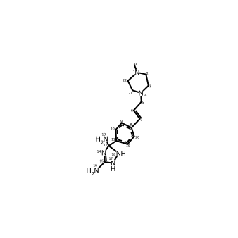 CN1CCN(CC=Cc2ccc(C3(N)N=C(N)NN3)cc2)CC1